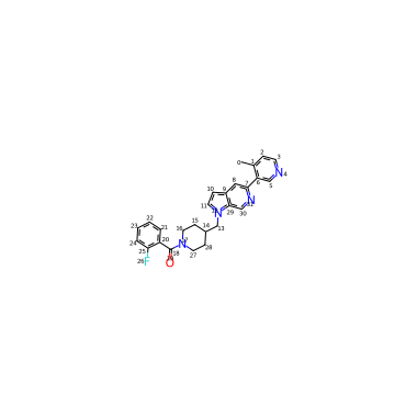 Cc1ccncc1-c1cc2ccn(CC3CCN(C(=O)c4ccccc4F)CC3)c2cn1